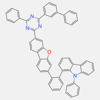 c1ccc(-c2cccc(-c3nc(-c4ccccc4)nc(-c4ccc5c(c4)oc4cc(-c6ccccc6-c6cccc7c8ccccc8n(-c8ccccc8)c67)ccc45)n3)c2)cc1